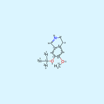 [2H]C([2H])([2H])Oc1cc2c(cc1OC)CCN=C2